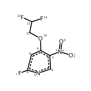 O=[N+]([O-])c1cnc(F)cc1OCC(F)F